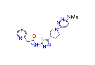 CNc1ccc(N2CCC(c3nnc(NC(=O)Cc4ccccn4)s3)CC2)nn1